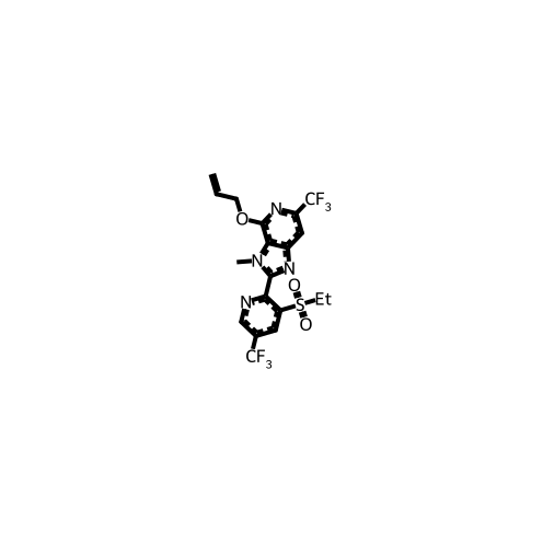 C=CCOc1nc(C(F)(F)F)cc2nc(-c3ncc(C(F)(F)F)cc3S(=O)(=O)CC)n(C)c12